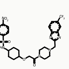 O=C(COC1CCC(NS(=O)(=O)c2ccc([N+](=O)[O-])cc2)CC1)N1CCN(Cc2nc3cc(C(F)(F)F)ccc3s2)CC1